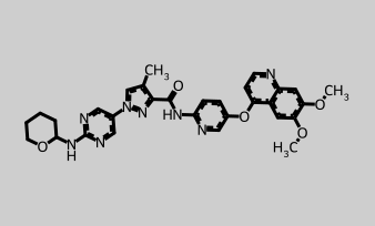 COc1cc2nccc(Oc3ccc(NC(=O)c4nn(-c5cnc(NC6CCCCO6)nc5)cc4C)nc3)c2cc1OC